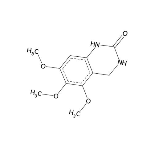 COc1cc2c(c(OC)c1OC)CNC(=O)N2